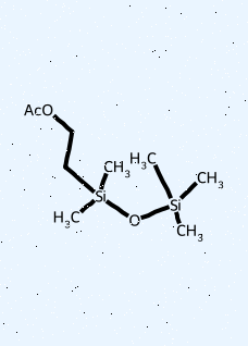 CC(=O)OCC[Si](C)(C)O[Si](C)(C)C